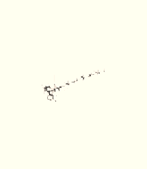 COCCOCCOCCOCCOCCOCCNC(=O)[C@H]1CC(=O)N(C)[C@@H]1c1cccnc1